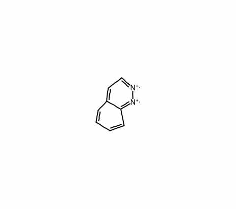 C1=[N+][N+]=c2ccccc2=C1